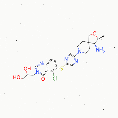 C[C@@H]1OCC2(CCN(c3cnc(Sc4ccc5ncn(CC(O)CO)c(=O)c5c4Cl)cn3)CC2)[C@@H]1N